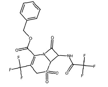 O=C(OCc1ccccc1)C1=C(C(F)(F)F)CS(=O)(=O)C2C(NC(=O)C(F)(F)F)C(=O)N12